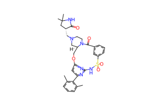 Cc1cccc(C)c1-c1cc2nc(n1)NS(=O)(=O)c1cccc(c1)C(=O)N1CCN(C[C@@H]3CC(C)(C)NC3=O)C[C@@H]1CO2